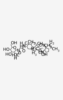 C=C(C)[C@@H]1CC[C@@](CCC(C)(C)[C@]2(C)CCC3C(C)(C)[C@@H](NC(=O)CN(OC)[C@@H]4OC(CO)[C@@H](O)C(O)[C@H]4O)CC[C@]3(C)C2CCC)(C(=O)O)C1C